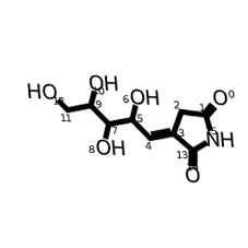 O=C1CC(=CC(O)C(O)C(O)CO)C(=O)N1